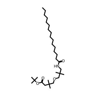 CCCCCCCCCCCCCCCC(=O)NCC(C)(C)COCC(C)(C)CC(=O)OC(C)(C)C